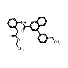 CCOC(=O)Cc1ccccc1NC(=O)c1cc(-c2cccc(CC)c2)c2ccccc2c1